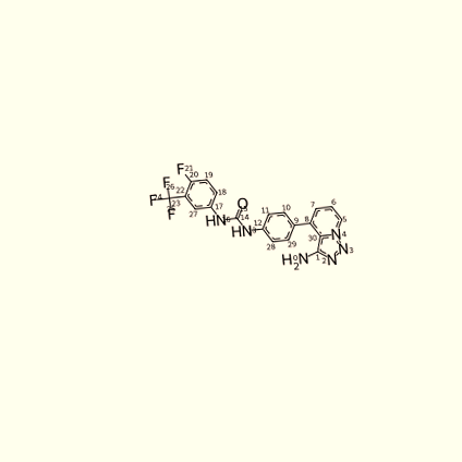 Nc1nnn2cccc(-c3ccc(NC(=O)Nc4ccc(F)c(C(F)(F)F)c4)cc3)c12